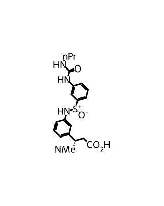 CCCNC(=O)Nc1cccc([S+]([O-])Nc2cccc([C@H](CC(=O)O)NC)c2)c1